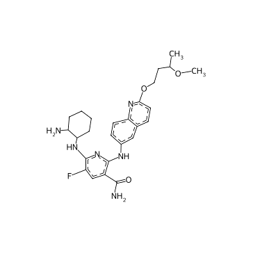 COC(C)CCOc1ccc2cc(Nc3nc(NC4CCCCC4N)c(F)cc3C(N)=O)ccc2n1